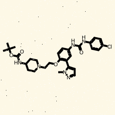 Cn1nccc1-c1cc(NC(=O)Nc2ccc(Cl)cc2)ccc1OCCN1CCC(NC(=O)OC(C)(C)C)CC1